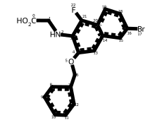 O=C(O)CNc1c(OCc2ccccc2)cc2cc(Br)ccc2c1F